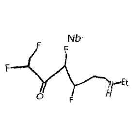 CCNCC(F)C(F)C(=O)C(F)F.[Nb]